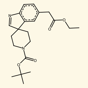 CCOC(=O)Cc1ccc2c(c1)C1(C=N2)CCN(C(=O)OC(C)(C)C)CC1